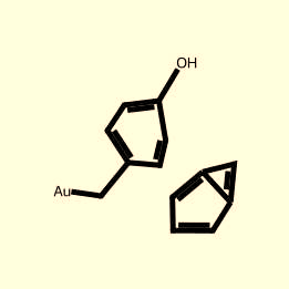 Oc1ccc([CH2][Au])cc1.c1cc2cc-2c1